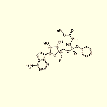 CCCOC(=O)[C@H](C)NP(=O)(OC[C@@]1(CF)O[C@@H](c2ccc3c(N)ncnn23)[C@H](O)[C@@H]1O)Oc1ccccc1